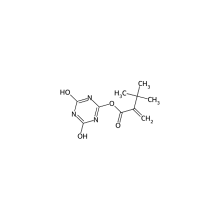 C=C(C(=O)Oc1nc(O)nc(O)n1)C(C)(C)C